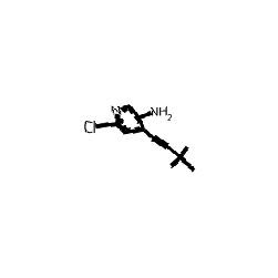 CC(C)(C)C#Cc1cc(Cl)ncc1N